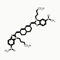 C[S+]([O-])c1ccc2c(c1)N(CCCC(=O)O)/C(=C/C1=CC3=C/C(=C/c4sc5ccc([S+](C)[O-])cc5[n+]4CCCC(=O)O)CCC3CC1)S2